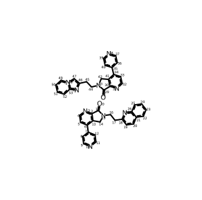 O=C1c2nccc(-c3ccncc3)c2CN1CCc1ccc2ccccc2n1.O=C1c2nccc(-c3ccncc3)c2CN1CCc1cn2ccccc2n1